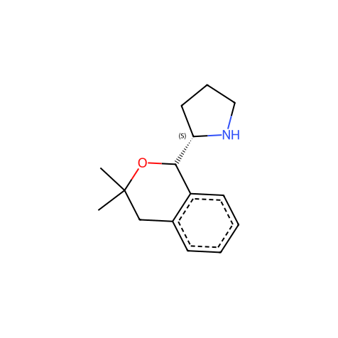 CC1(C)Cc2ccccc2C([C@@H]2CCCN2)O1